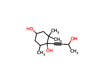 CC(O)C#CC1(O)C(C)CC(O)CC1(C)C